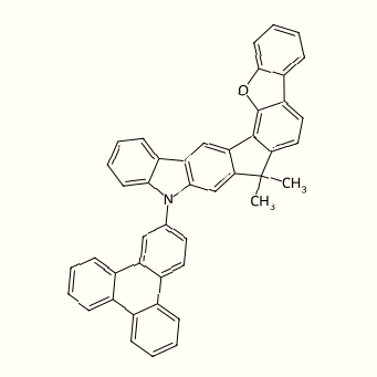 CC1(C)c2cc3c(cc2-c2c1ccc1c2oc2ccccc21)c1ccccc1n3-c1ccc2c3ccccc3c3ccccc3c2c1